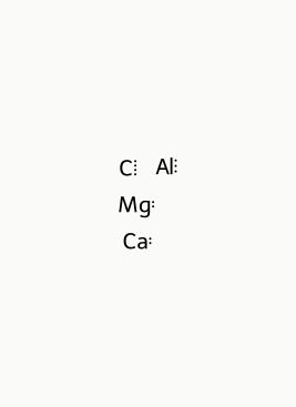 [Al].[C].[Ca].[Mg]